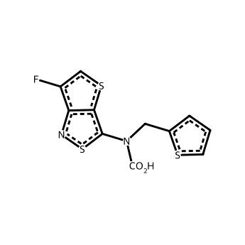 O=C(O)N(Cc1cccs1)c1snc2c(F)csc12